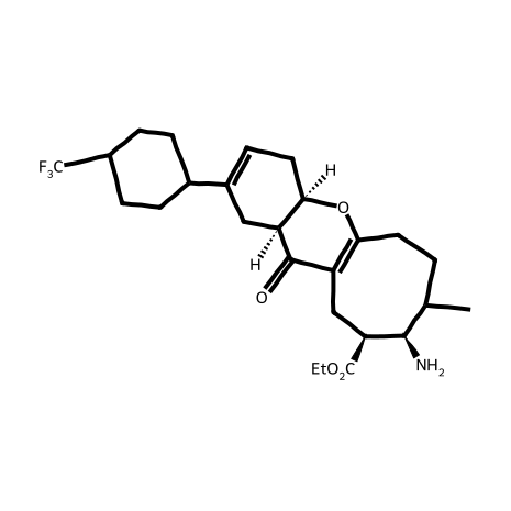 CCOC(=O)[C@H]1CC2=C(CCC(C)[C@H]1N)O[C@@H]1CC=C(C3CCC(C(F)(F)F)CC3)C[C@@H]1C2=O